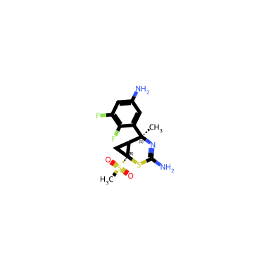 C[C@]1(c2cc(N)cc(F)c2F)N=C(N)S[C@@]2(S(C)(=O)=O)CC21